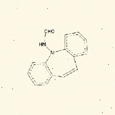 O=CNN1c2ccccc2C=Cc2ccccc21